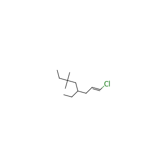 CCC(C/C=C/Cl)CC(C)(C)CC